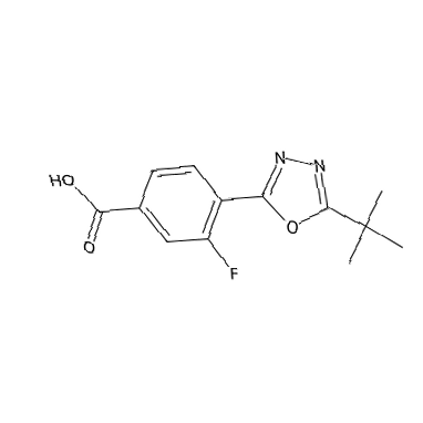 CC(C)(C)c1nnc(-c2ccc(C(=O)O)cc2F)o1